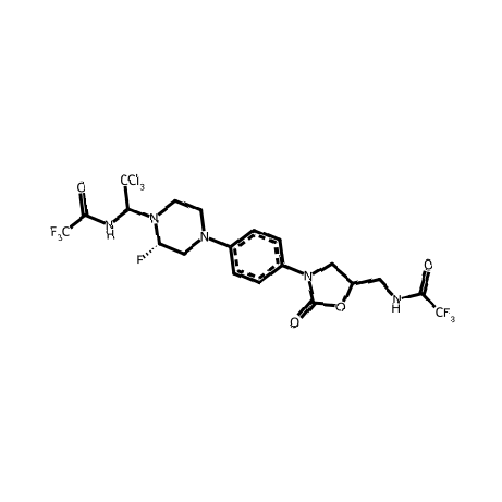 O=C1OC(CNC(=O)C(F)(F)F)CN1c1ccc(N2CCN(C(NC(=O)C(F)(F)F)C(Cl)(Cl)Cl)[C@@H](F)C2)cc1